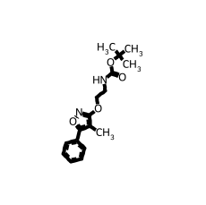 Cc1c(OCCNC(=O)OC(C)(C)C)noc1-c1ccccc1